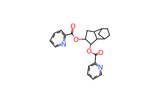 O=C(OC1CC2C3CCC(C3)C2C1OC(=O)c1ccccn1)c1ccccn1